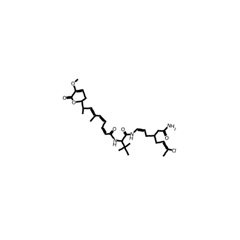 COC1=CCC(C(C)/C=C(C)/C=C\C=C/C(=O)NC(C(=O)N/C=C\CC(C/C=C(\C)Cl)CC(N)=O)C(C)(C)C)OC1=O